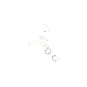 O=C(CNC(=O)C(c1nc2ccc(-c3ccc(F)nc3)cc2s1)S(=O)(=O)CCO)NC1CC1